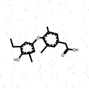 CCc1cc(Oc2c(C)cc(CC(=O)O)cc2C)cc(C)c1O